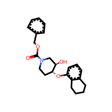 O=C(OCc1ccccc1)N1CC[C@@H](Oc2cccc3c2CCCC3)[C@H](O)C1